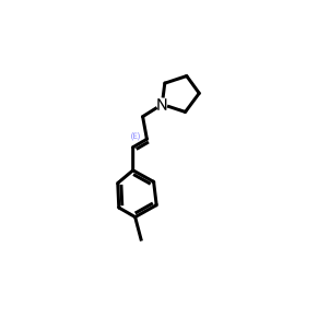 Cc1ccc(/C=C/CN2CCCC2)cc1